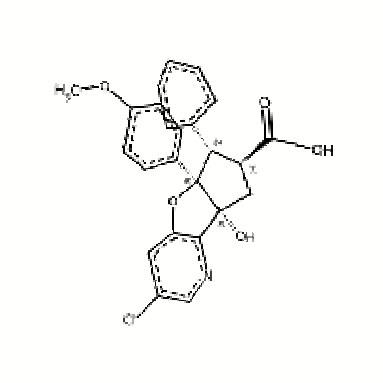 COc1ccc([C@@]23Oc4cc(Cl)cnc4[C@]2(O)C[C@H](C(=O)O)[C@H]3c2ccccc2)cc1